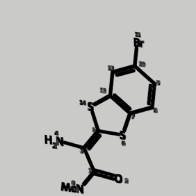 CNC(=O)/C(N)=C1\Sc2ccc(Br)cc2S1